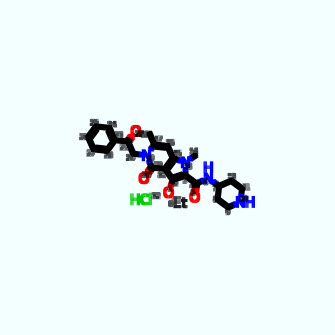 CCOc1c(C(=O)NC2CCNCC2)n(C)c2cc(C)n(CC(=O)c3ccccc3)c(=O)c12.Cl